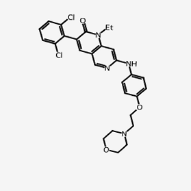 CCn1c(=O)c(-c2c(Cl)cccc2Cl)cc2cnc(Nc3ccc(OCCN4CCOCC4)cc3)cc21